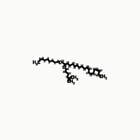 C/C=C\CCCCCCCCC(CCCCCCCC/C=C\C/C=C\C/C=C\CC)OCCCCN(C)C